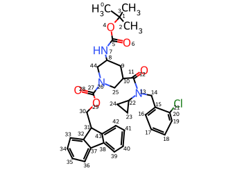 CC(C)(C)OC(=O)NC1CC(C(=O)N(Cc2ccccc2Cl)C2CC2)CN(C(=O)OCC2c3ccccc3-c3ccccc32)C1